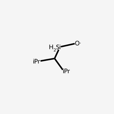 CC(C)C([SiH2][O])C(C)C